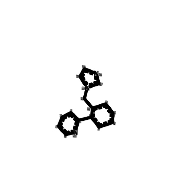 [c]1cccc(-c2ccccn2)c1Cn1ccnc1